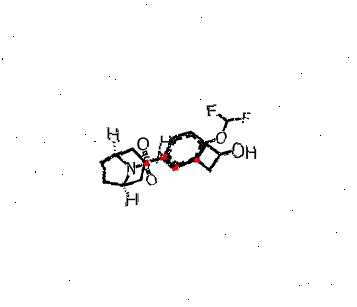 O=S(=O)(c1ccc(OC(F)F)cc1)N1[C@@H]2CC[C@H]1C[C@H](NCC1CC(O)C1)C2